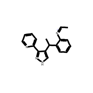 C/C=N\c1ccccc1C(C)c1c[nH]nc1-c1ccccn1